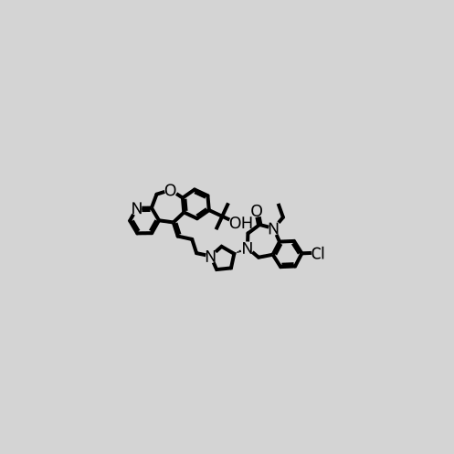 CCN1C(=O)CN([C@@H]2CCN(CC/C=C3\c4cc(C(C)(C)O)ccc4OCc4ncccc43)C2)Cc2ccc(Cl)cc21